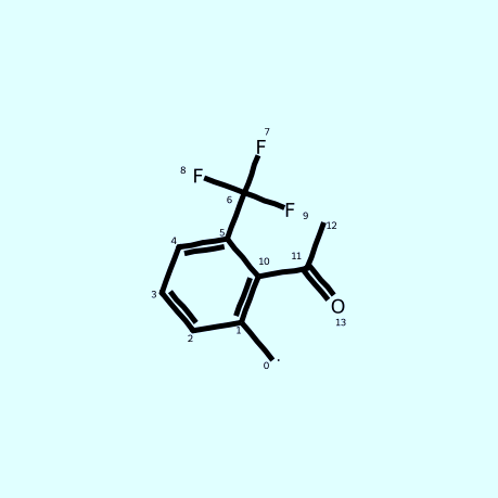 [CH2]c1cccc(C(F)(F)F)c1C(C)=O